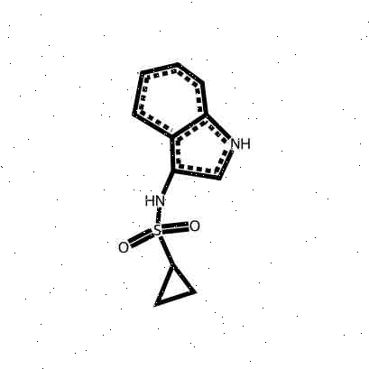 O=S(=O)(Nc1c[nH]c2cc[c]cc12)C1CC1